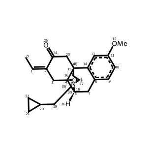 CC=C1C[C@@]2(O)[C@H]3Cc4ccc(OC)cc4[C@@]2(CCN3CC2CC2)CC1=O